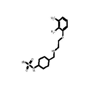 Cc1cccc(SCCNCC2CCC(NS(=O)(=O)C(C)(C)C)CC2)c1C